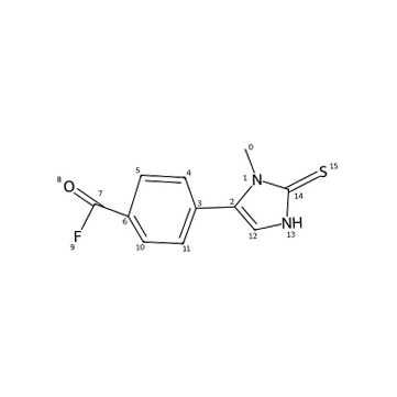 Cn1c(-c2ccc(C(=O)F)cc2)c[nH]c1=S